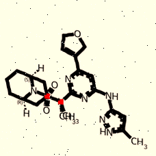 CCS(=O)(=O)N1[C@@H]2CCC[C@H]1C[C@@H](N(C)c1nc(Nc3cc(C)[nH]n3)cc(C3=CCOC3)n1)C2